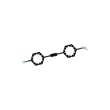 O=[N+]([O-])c1ccc(C#Cc2ccc(Cl)cc2)cc1